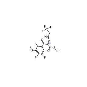 CCOC(=O)/C(=C/NCC(F)(F)F)C(=O)c1cc(F)c(F)c(OC)c1F